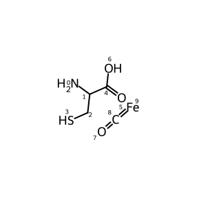 NC(CS)C(=O)O.O=[C]=[Fe]